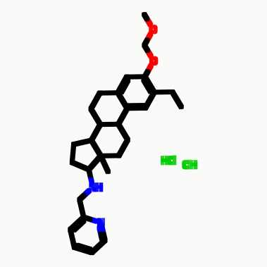 CCc1cc2c(cc1OCOC)CCC1C2CCC2(C)C(NCc3ccccn3)CCC12.Cl.Cl